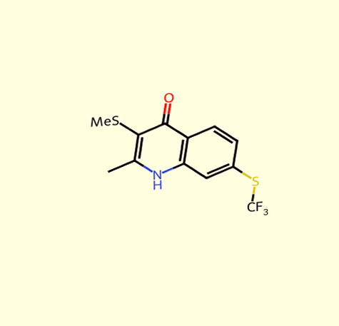 CSc1c(C)[nH]c2cc(SC(F)(F)F)ccc2c1=O